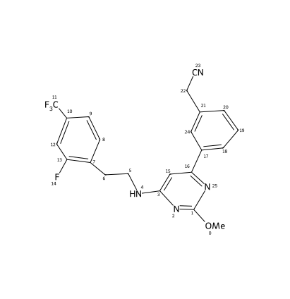 COc1nc(NCCc2ccc(C(F)(F)F)cc2F)cc(-c2cccc(CC#N)c2)n1